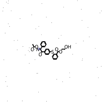 CC(=O)O/N=C(/C(=O)c1ccc(Sc2ccccc2C(=O)OCCO)cc1)c1ccccc1